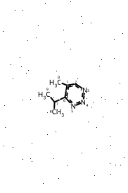 Cc1cnnnc1C(C)C